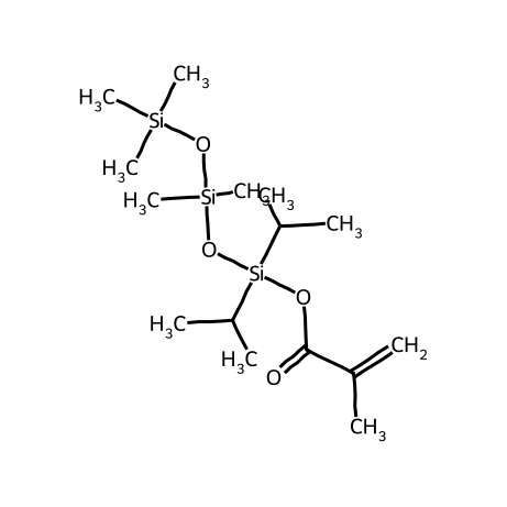 C=C(C)C(=O)O[Si](O[Si](C)(C)O[Si](C)(C)C)(C(C)C)C(C)C